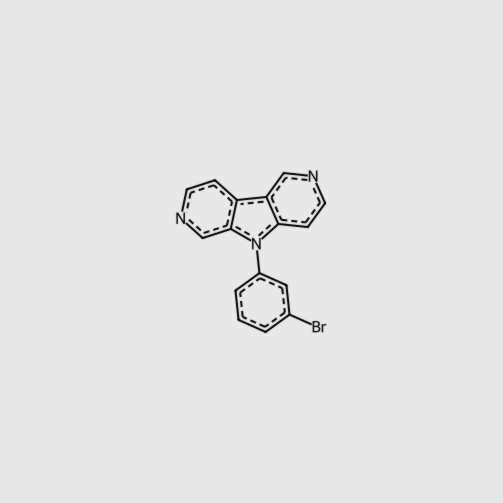 Brc1cccc(-n2c3ccncc3c3ccncc32)c1